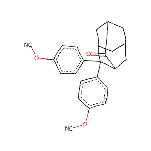 N#COc1ccc(C2(c3ccc(OC#N)cc3)C3CC4CC(C3)C(=O)C2C4)cc1